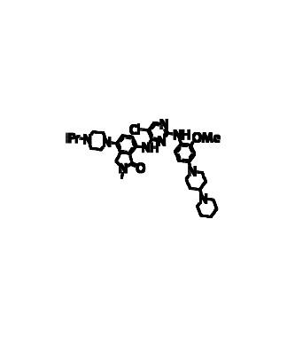 COc1cc(N2CCC(N3CCCCC3)CC2)ccc1Nc1ncc(Cl)c(Nc2ccc(N3CCN(C(C)C)CC3)c3c2C(=O)N(C)C3)n1